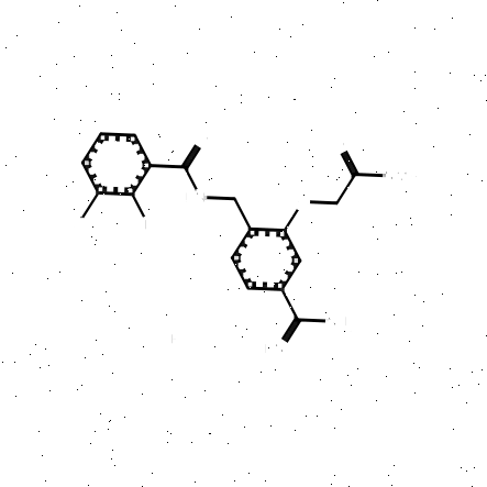 CNC(=O)COc1cc(C(=N)N)ccc1CNC(=O)c1cccc(Cl)c1F.Cl